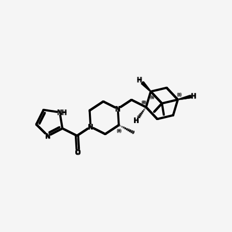 C[C@@H]1CN(C(=O)c2ncc[nH]2)CCN1C[C@@H]1CC[C@H]2C[C@@H]1C2(C)C